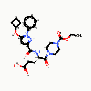 CCOC(=O)N1CCN(C(=O)[C@H](CCC(=O)O)NC(=O)c2cc(OC3CCC3)n(-c3ccccc3)n2)CC1